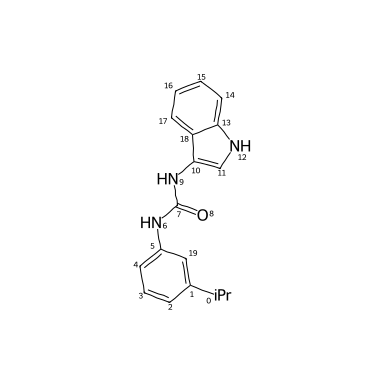 CC(C)c1cccc(NC(=O)Nc2c[nH]c3ccccc23)c1